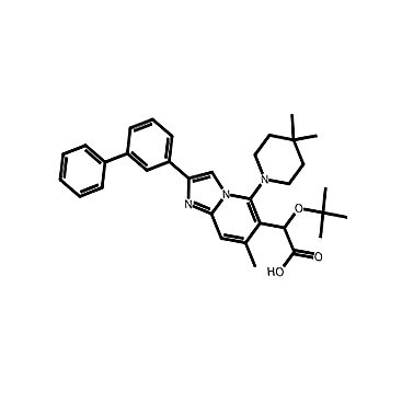 Cc1cc2nc(-c3cccc(-c4ccccc4)c3)cn2c(N2CCC(C)(C)CC2)c1C(OC(C)(C)C)C(=O)O